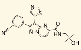 CC(C)(O)CNC(=O)c1ccn2nc(-c3cccc(C#N)c3)c(-c3cncs3)c2n1